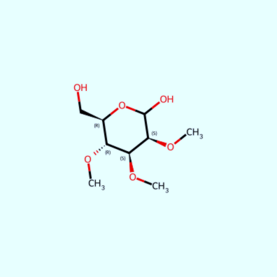 CO[C@H]1[C@H](OC)[C@@H](CO)OC(O)[C@H]1OC